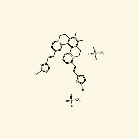 Cc1c(C)c2c(c3c1CC[n+]1ccc(C=Cc4ccc(Br)s4)cc1-3)-c1cccc(C=Cc3ccc(Br)s3)[n+]1CC2.O=S(=O)([O-])C(F)(F)F.O=S(=O)([O-])C(F)(F)F